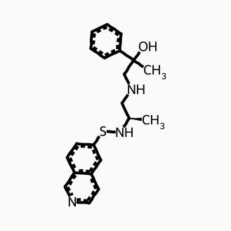 C[C@H](CNCC(C)(O)c1ccccc1)NSc1ccc2cnccc2c1